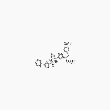 COc1ccc(CC(C(=O)O)n2cc(C(C)NS(=O)(=O)c3ccc(-c4ccccn4)s3)nn2)cc1